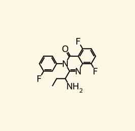 CCC(N)c1nc2c(F)ccc(F)c2c(=O)n1-c1cccc(F)c1